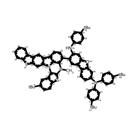 CB1c2sc3ccc(C(C)(C)C)cc3c2-n2c3cc4sc5ccccc5c4cc3c3ccc(-c4cc5c(cc4Nc4ccc(C(C)(C)C)cc4)oc4cc(N(c6ccc(C(C)(C)C)cc6)c6ccc(C(C)(C)C)cc6)ccc45)c1c32